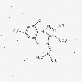 CN(C)/C=N/c1c(C(=O)O)c(C#N)nn1-c1c(Cl)cc(C(F)(F)F)cc1Cl